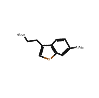 CNCCc1csc2cc(OC)ccc12